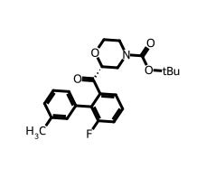 Cc1cccc(-c2c(F)cccc2C(=O)[C@H]2CN(C(=O)OC(C)(C)C)CCO2)c1